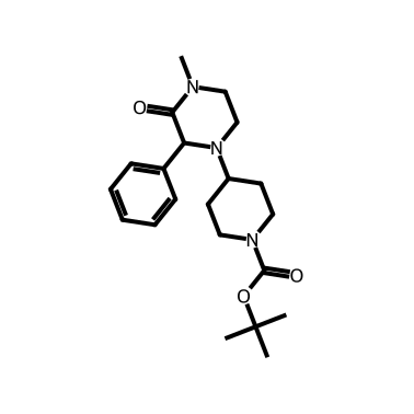 CN1CCN(C2CCN(C(=O)OC(C)(C)C)CC2)C(c2ccccc2)C1=O